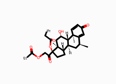 CCC(=O)OCC(=O)[C@@]1(OC(=O)CC(C)C)CC[C@H]2[C@@H]3C[C@H](C)C4=CC(=O)C=C[C@]4(C)[C@H]3[C@@H](O)C[C@@]21C